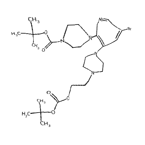 CC(C)(C)OC(=O)OCCN1CCN(c2cc(Br)cnc2N2CCN(C(=O)OC(C)(C)C)CC2)CC1